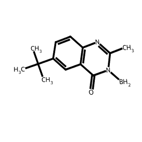 Bn1c(C)nc2ccc(C(C)(C)C)cc2c1=O